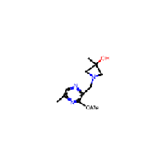 COc1nc(C)cnc1CN1CC(C)(O)C1